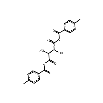 Cc1ccc(C(=O)OC(=O)C(O)C(O)C(=O)OC(=O)c2ccc(C)cc2)cc1